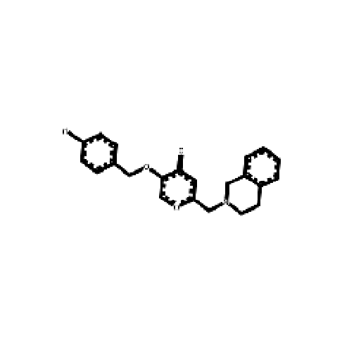 O=c1cc(CN2CCc3ccccc3C2)occ1OCc1ccc(Cl)cc1